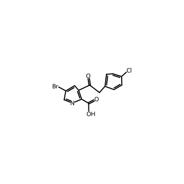 O=C(Cc1ccc(Cl)cc1)c1cc(Br)cnc1C(=O)O